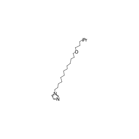 CC(C)CCCOCCCCCCCCCCCCCn1ccnc1